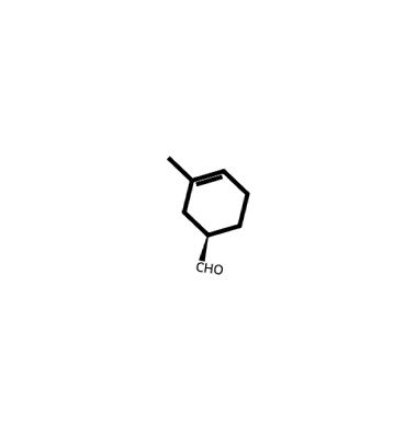 CC1=CCC[C@@H](C=O)C1